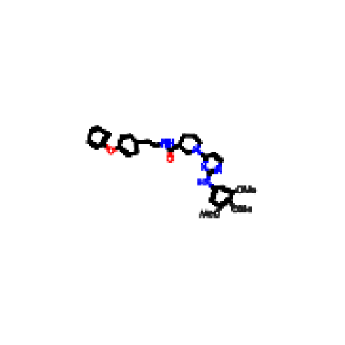 COc1cc(Nc2nccc(N3CCCC(C(=O)NCCc4ccc(Oc5ccccc5)cc4)C3)n2)cc(OC)c1OC